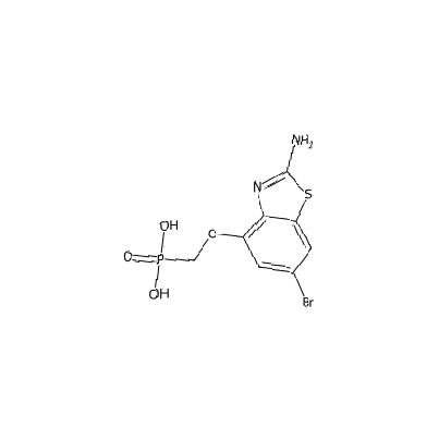 Nc1nc2c(OCP(=O)(O)O)cc(Br)cc2s1